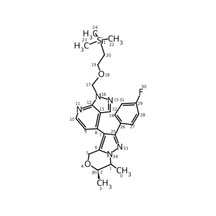 CC1[C@@H](C)OCc2c(-c3ccnc4c3cnn4COCC[Si](C)(C)C)c(-c3ccc(F)cc3)nn21